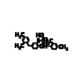 Cc1ccc(Cc2ccc(O)c(Sc3cc(Cc4ccc(C)cc4C)ccc3O)c2)c(C)c1